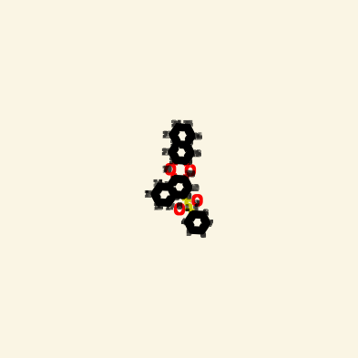 O=S(=O)(c1ccccc1)c1cc2c(c3ccccc13)Oc1cc3ccccc3cc1O2